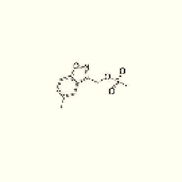 Cc1ccc2onc(COS(C)(=O)=O)c2c1